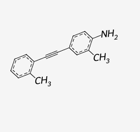 Cc1cc(C#Cc2ccccc2C)ccc1N